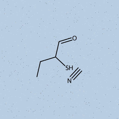 C#N.CCC(S)C=O